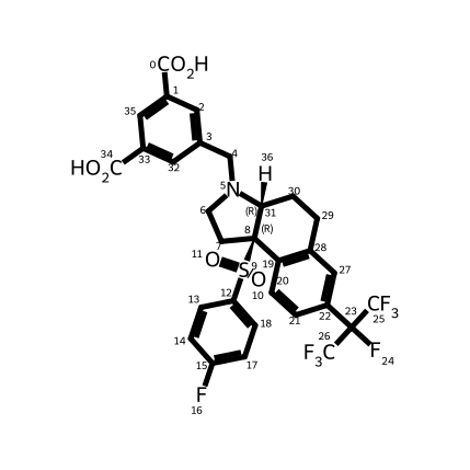 O=C(O)c1cc(CN2CC[C@@]3(S(=O)(=O)c4ccc(F)cc4)c4ccc(C(F)(C(F)(F)F)C(F)(F)F)cc4CC[C@@H]23)cc(C(=O)O)c1